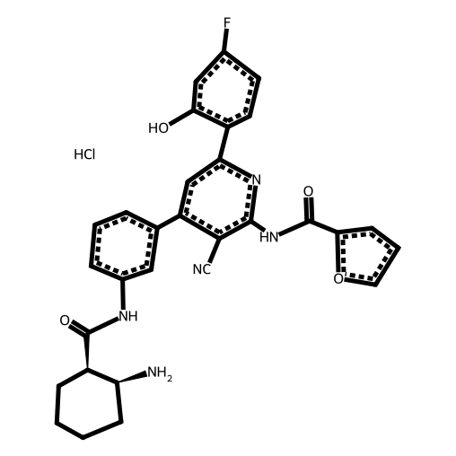 Cl.N#Cc1c(-c2cccc(NC(=O)[C@@H]3CCCC[C@@H]3N)c2)cc(-c2ccc(F)cc2O)nc1NC(=O)c1ccco1